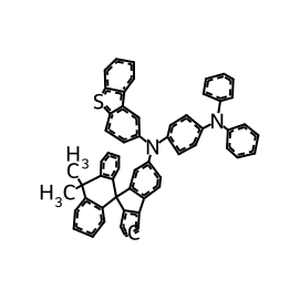 CC1(C)c2ccccc2C2(c3ccccc3-c3ccc(N(c4ccc(N(c5ccccc5)c5ccccc5)cc4)c4ccc5sc6ccccc6c5c4)cc32)c2ccccc21